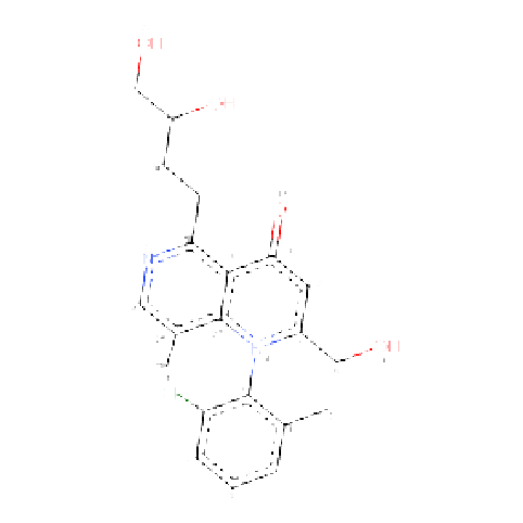 Cc1cccc(Cl)c1-n1c(CO)cc(=O)c2c(CCC(O)CO)ncc(C)c21